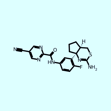 N#Cc1cnc(C(=O)Nc2ccc(F)c([C@]34CCC[C@H]3CSC(N)=N4)c2)nc1